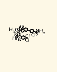 CN(C(=O)CC1C(=O)NOc2cc(Cl)c(Cl)cc21)[N+]1(CCc2cccc(-c3ccc(C(N)=O)c(Cl)c3)c2)CCOCC1